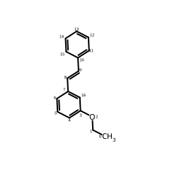 CCOc1cccc(/C=C/c2ccccc2)c1